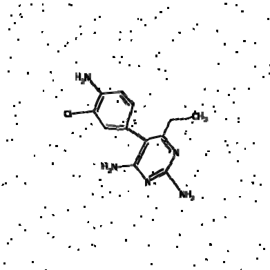 CCc1nc(N)nc(N)c1-c1ccc(N)c(Cl)c1